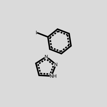 Ic1ccccc1.c1c[nH]nn1